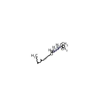 CCCCCC1CC1CC1CC1CCCCCCCCOC(=O)/C=C(C)/C=C/C=C(C)/C=C/C1=C(C)CCCC1(C)C